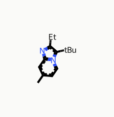 CCc1nc2cc(C)ccn2c1C(C)(C)C